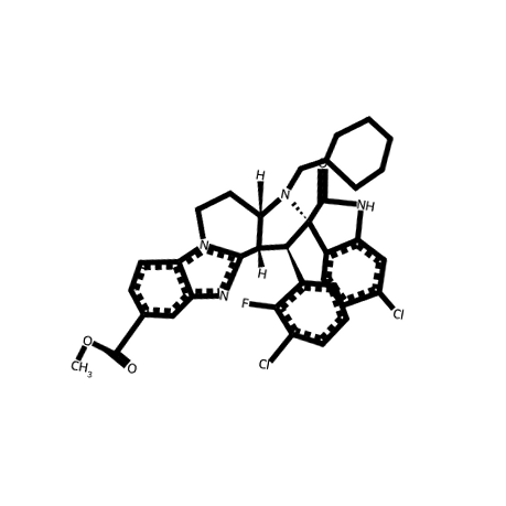 COC(=O)c1ccc2c(c1)nc1n2CC[C@H]2[C@@H]1[C@H](c1cccc(Cl)c1F)[C@]1(C(=O)Nc3cc(Cl)ccc31)N2CC1CCCCC1